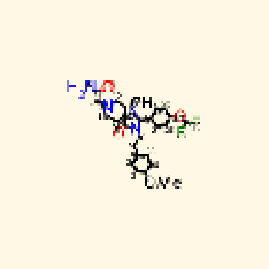 COc1ccc(CCN2C(=O)C3(CCN(CC(N)=O)CC3)N(C)C2c2ccc(OC(F)F)cc2)cc1